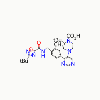 Cc1cc(-c2ncncc2N2CCN(C(=O)O)C(C(C)(C)C)C2)ccc1CNC(=O)c1nc(C(C)(C)C)no1